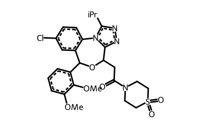 COc1cccc(C2OC(CC(=O)N3CCS(=O)(=O)CC3)c3nnc(C(C)C)n3-c3ccc(Cl)cc32)c1OC